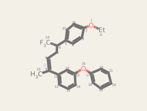 CCOc1ccc(C(C/C=C(/C)c2cccc(Oc3ccccc3)c2)C(F)(F)F)cc1